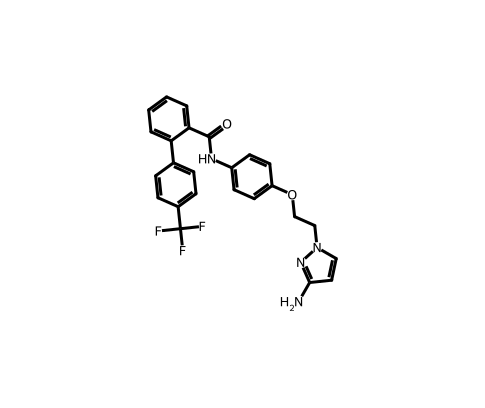 Nc1ccn(CCOc2ccc(NC(=O)c3ccccc3-c3ccc(C(F)(F)F)cc3)cc2)n1